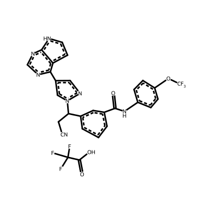 N#CCC(c1cccc(C(=O)Nc2ccc(OC(F)(F)F)cc2)c1)n1cc(-c2ncnc3[nH]ccc23)cn1.O=C(O)C(F)(F)F